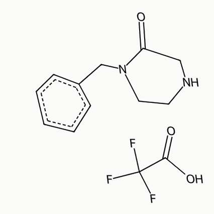 O=C(O)C(F)(F)F.O=C1CNCCN1Cc1ccccc1